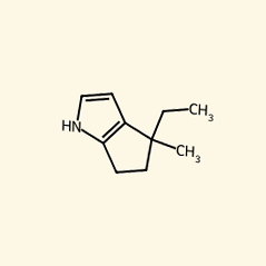 CCC1(C)CCc2[nH]ccc21